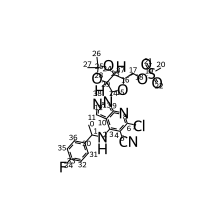 CC(Nc1c(C#N)c(Cl)nc2c1cnn2[C@@H]1O[C@H](COS(C)(=O)=O)[C@H]2OC(C)(C)O[C@H]21)c1ccc(F)cc1